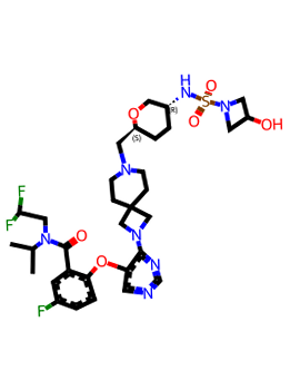 CC(C)N(CC(F)F)C(=O)c1cc(F)ccc1Oc1cncnc1N1CC2(CCN(C[C@@H]3CC[C@@H](NS(=O)(=O)N4CC(O)C4)CO3)CC2)C1